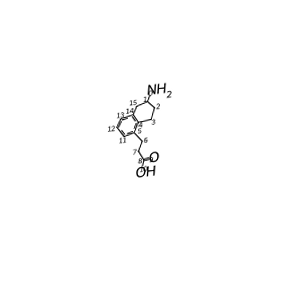 NC1CCc2c(CCC(=O)O)cccc2C1